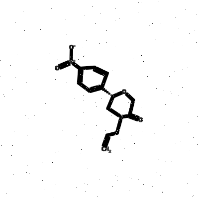 C=CCN1C[C@H](c2ccc([N+](=O)[O-])cc2)OCC1=O